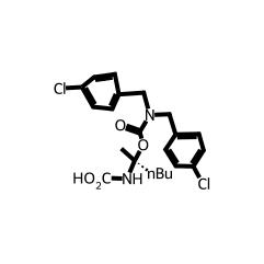 CCCC[C@@](C)(NC(=O)O)OC(=O)N(Cc1ccc(Cl)cc1)Cc1ccc(Cl)cc1